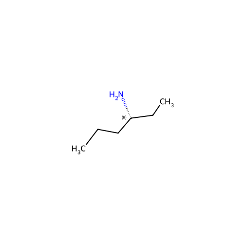 CCC[C@H](N)CC